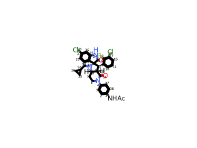 CC(=O)Nc1ccc(N2CC[C@H]3[C@@H](C2=O)[C@H](c2cccc(Cl)c2F)[C@]2(C(=O)Nc4cc(Cl)ccc42)N3CC2CC2)cc1